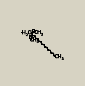 [CH2]C(OC)C(CCCCCCCCCCCCCCC)OC